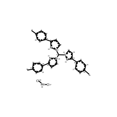 Cc1ccc(-c2ccn(C(n3ccc(-c4ccc(C)cc4)n3)n3ccc(-c4ccc(C)cc4)n3)n2)cc1.[Cl][Mn][Cl]